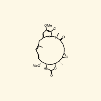 COc1cc2cc(c1Cl)N(C)C(=O)CCC1OC1[C@H](C)C1CC(NC(=O)O1)[C@H](OC)/C=C/C=C(\C)C2